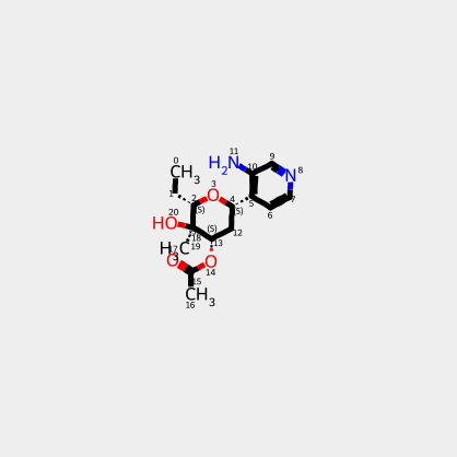 CC[C@@H]1O[C@H](c2ccncc2N)C[C@H](OC(C)=O)[C@@]1(C)O